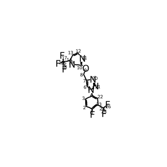 Fc1ccc(-n2cc(COc3nccc(C(F)(F)F)n3)nn2)cc1C(F)F